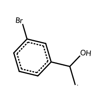 [CH2]C(O)c1cccc(Br)c1